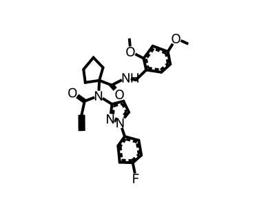 C#CC(=O)N(c1ccn(-c2ccc(F)cc2)n1)C1(C(=O)NCc2ccc(OC)cc2OC)CCCC1